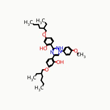 CCCCC(CC)COc1ccc(C2=CN(c3ccc(OC)cc3)NC(c3ccc(OCC(CC)CCCC)cc3O)=N2)c(O)c1